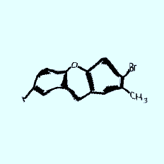 Cc1cc2c(cc1Br)Oc1ccc(I)cc1C2